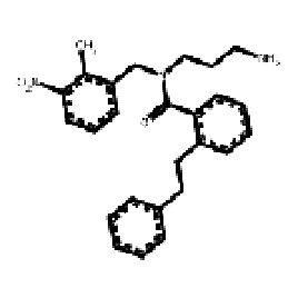 Cc1c(CN(CCCN)C(=O)c2ccccc2CCc2ccccc2)cccc1[N+](=O)[O-]